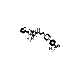 C[S+]([O-])c1ccc(N2CCN(CCNc3nc(N)n4nc(-c5ccco5)nc4n3)CC2)cc1